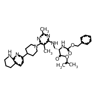 C=C(C)OC(=O)[C@H](CNc1nc(C)nc(N2CCC(c3ccc4c(n3)NCCC4)CC2)c1C)NC(=O)OCc1ccccc1